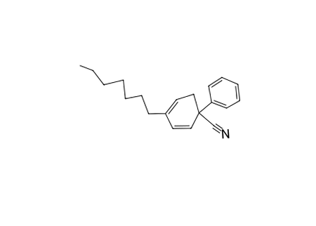 CCCCCCCC1=CCC(C#N)(c2ccccc2)C=C1